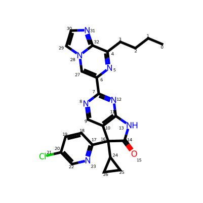 CCCCc1nc(-c2ncc3c(n2)NC(=O)C3(c2ccc(Cl)cn2)C2CC2)cn2ccnc12